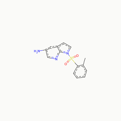 Cc1ccccc1S(=O)(=O)n1ccc2cc(N)cnc21